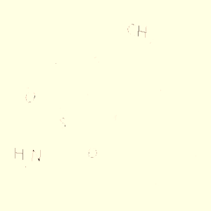 C=C1CC1(c1ccccc1)S(N)(=O)=O